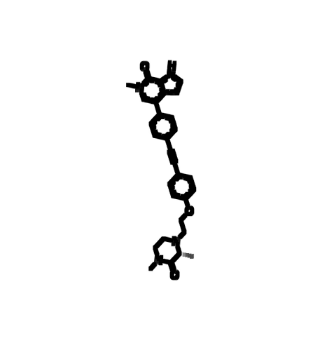 C[C@@H]1C(=O)N(C)CCN1CCOc1ccc(C#Cc2ccc(-c3cn(C)c(=O)c4[nH]ccc34)cc2)cc1